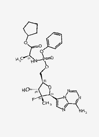 C[C@H](NP(=O)(OC[C@H]1O[C@@H](c2cnc3c(N)ncnn23)[C@](C)(F)[C@@H]1O)Oc1ccccc1)C(=O)OC1CCCC1